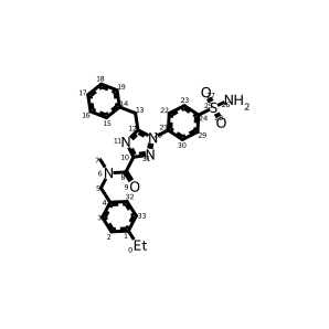 CCc1ccc(CN(C)C(=O)c2nc(Cc3ccccc3)n(-c3ccc(S(N)(=O)=O)cc3)n2)cc1